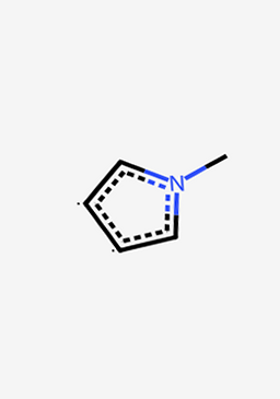 Cn1c[c][c]c1